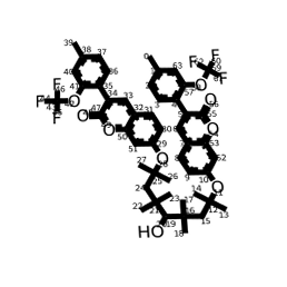 Cc1ccc(-c2cc3ccc(OC(C)(C)CC(C)(C)C(O)C(C)(C)CC(C)(C)Oc4ccc5cc(-c6ccc(C)cc6OC(F)(F)F)c(=O)oc5c4)cc3oc2=O)c(OC(F)(F)F)c1